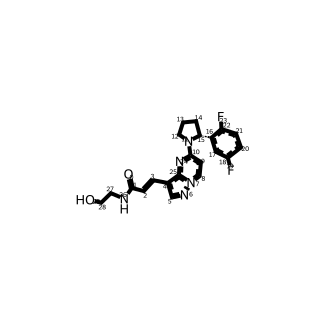 O=C(C=Cc1cnn2ccc(N3CCC[C@@H]3c3cc(F)ccc3F)nc12)NCCO